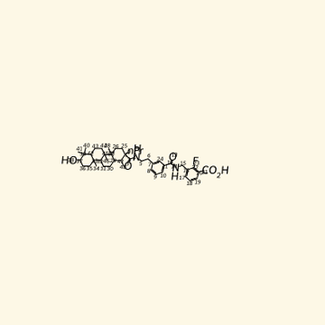 CCCC1(C(=O)NCCc2cccc(C(=O)NCc3cccc(C(=O)O)c3F)c2)CC[C@]2(C)C(CCC3C4(C)CCC(O)C(C)(C)C4CCC32C)C1C